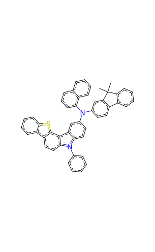 CC1(C)c2ccccc2-c2ccc(N(c3ccc4c(c3)c3c5sc6ccccc6c5ccc3n4-c3ccccc3)c3cccc4ccccc34)cc21